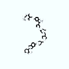 CC1=C(C(=O)Nc2ccc3[nH]nc(-c4ccnc(N5CCN(CC6CCN(CC7CCN(c8ccc9c(c8)C(=O)N(C8CCC(=O)NC8=O)C9=O)CC7)CC6)C(C)C5)c4)c3c2)C(C)n2nnnc2N1C